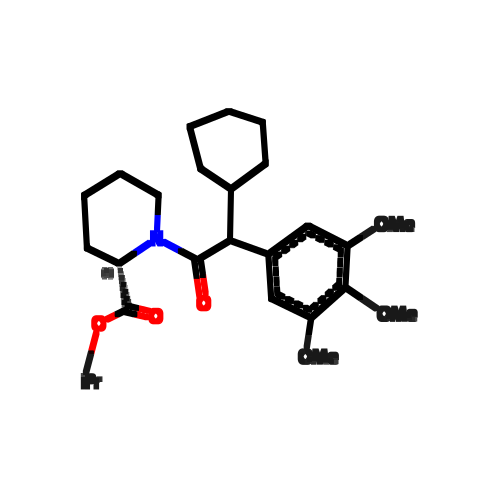 COc1cc(C(C(=O)N2CCCC[C@H]2C(=O)OC(C)C)C2CCCCC2)cc(OC)c1OC